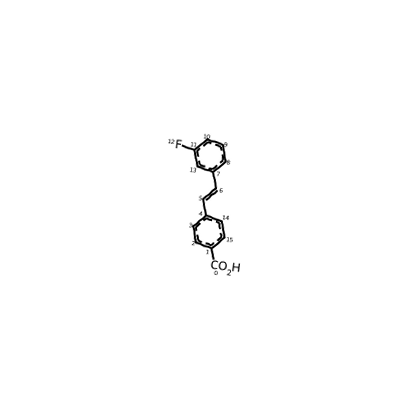 O=C(O)c1ccc(C=Cc2cccc(F)c2)cc1